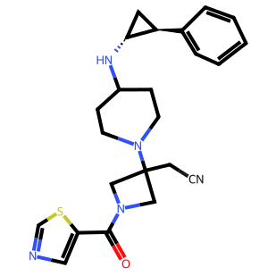 N#CCC1(N2CCC(N[C@@H]3C[C@H]3c3ccccc3)CC2)CN(C(=O)c2cncs2)C1